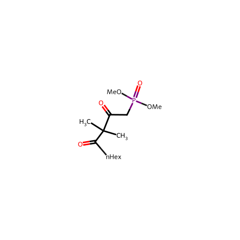 CCCCCCC(=O)C(C)(C)C(=O)CP(=O)(OC)OC